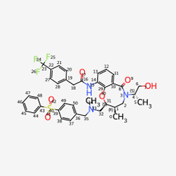 C[C@@H]1CN([C@@H](C)CO)C(=O)c2cccc(NC(=O)Cc3ccc(C(F)(F)F)cc3)c2O[C@@H]1CN(C)Cc1ccc(S(=O)(=O)c2ccccc2)cc1